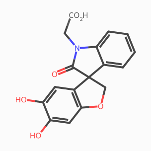 O=C(O)CN1C(=O)C2(COc3cc(O)c(O)cc32)c2ccccc21